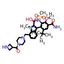 COc1c(C(N)=O)cc(C(C)(C)C)c(-c2c(C(=O)O)n(C)c3c(CN4CCN(C(=O)C5CNC5)CC4)cccc23)c1NS(C)(=O)=O